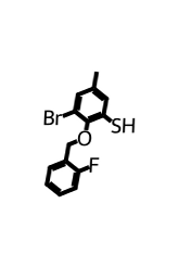 Cc1cc(S)c(OCc2ccccc2F)c(Br)c1